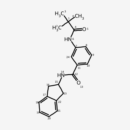 CC(C)(C)C(=O)Nc1cccc(C(=O)NC2Cc3ccccc3C2)c1